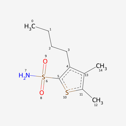 CCCCc1c(S(N)(=O)=O)sc(C)c1C